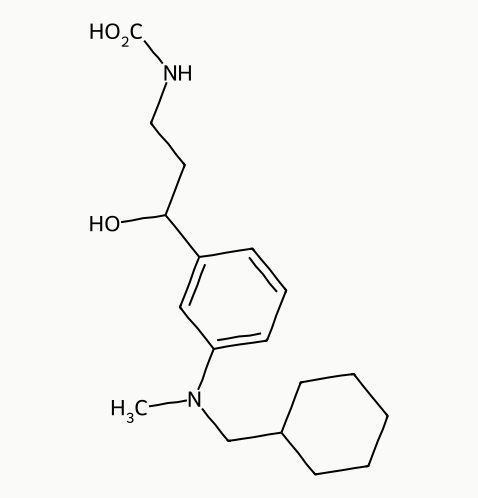 CN(CC1CCCCC1)c1cccc(C(O)CCNC(=O)O)c1